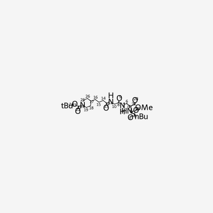 CCCCS(=O)(=O)N[C@@H](CNC(=O)CNC(=O)CCCC1CCN(C(=O)OC(C)(C)C)CC1)C(=O)OC